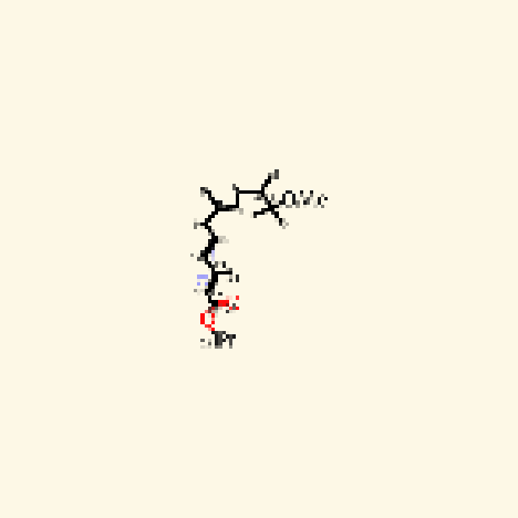 COC(C)(C)C(C)CCC(C)C/C=C/C(C)=C/C(=O)OC(C)C